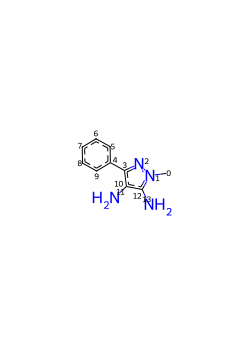 Cn1nc(-c2ccccc2)c(N)c1N